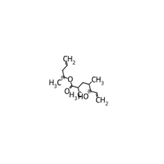 C=CC[C@@H](C)OC(=O)C(C)CC(C)[C@@H](O)C=C